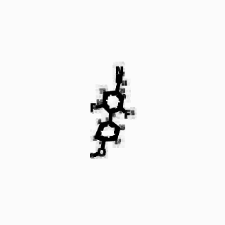 COc1ccc(-c2c(F)cc(C#N)cc2F)cc1